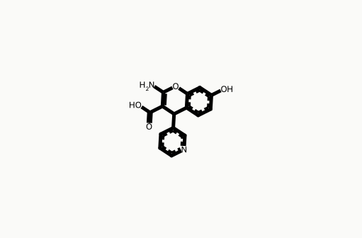 NC1=C(C(=O)O)C(c2cccnc2)c2ccc(O)cc2O1